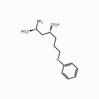 N[C@@H](C[C@H](CCCOc1ccccc1)C(=O)O)C(=O)O